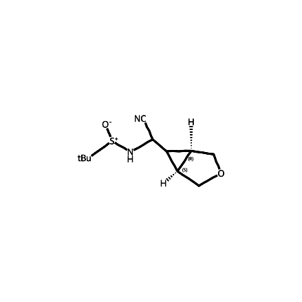 CC(C)(C)[S+]([O-])NC(C#N)C1[C@H]2COC[C@@H]12